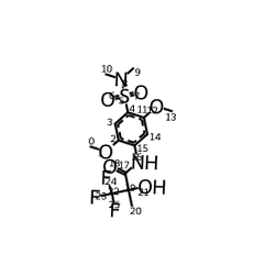 COc1cc(S(=O)(=O)N(C)C)c(OC)cc1NC(=O)C(C)(O)C(F)(F)F